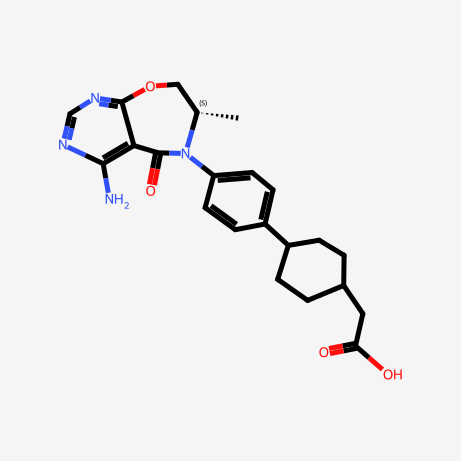 C[C@H]1COc2ncnc(N)c2C(=O)N1c1ccc(C2CCC(CC(=O)O)CC2)cc1